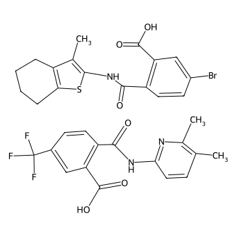 Cc1c(NC(=O)c2ccc(Br)cc2C(=O)O)sc2c1CCCC2.Cc1ccc(NC(=O)c2ccc(C(F)(F)F)cc2C(=O)O)nc1C